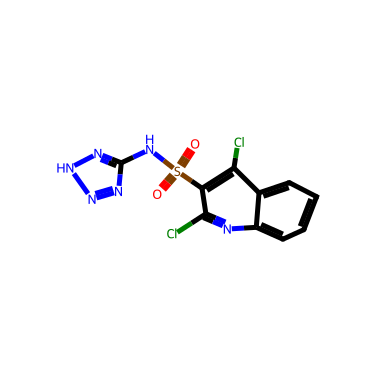 O=S(=O)(Nc1nn[nH]n1)c1c(Cl)nc2ccccc2c1Cl